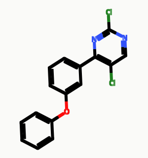 Clc1ncc(Cl)c(-c2cccc(Oc3ccccc3)c2)n1